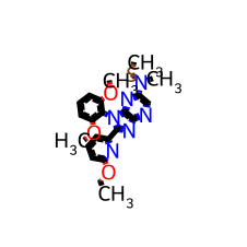 CCOc1cccc(-c2nc3ncc(N(C)SC)nc3n2-c2c(OC)cccc2OC)n1